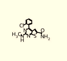 CNc1nc(-c2ccccc2Cl)c2cc(C(N)=O)sc2n1